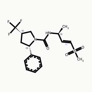 C[C@@H](/C=C/S(C)(=O)=O)NC(=O)N1C[C@@H](C(F)(F)F)C[C@H]1c1ccccc1